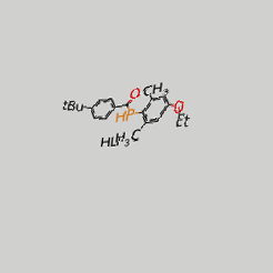 CCOc1cc(C)c(PC(=O)c2ccc(C(C)(C)C)cc2)c(C)c1.[LiH]